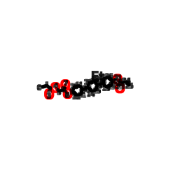 C=CC(=O)OCC(=O)Oc1ccc(C2=CC=C(c3ccc(OC(=O)C=C)cc3)C(CC)C2)cc1